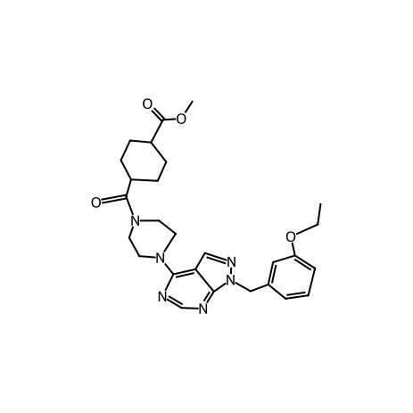 CCOc1cccc(Cn2ncc3c(N4CCN(C(=O)C5CCC(C(=O)OC)CC5)CC4)ncnc32)c1